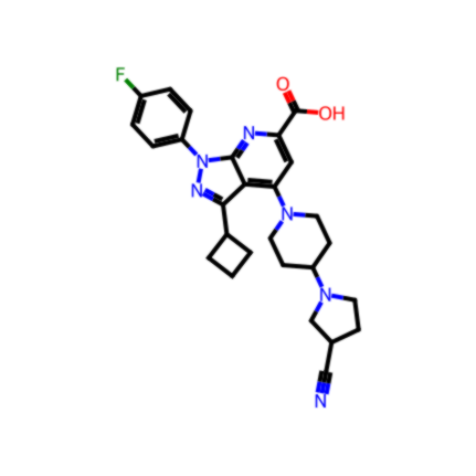 N#CC1CCN(C2CCN(c3cc(C(=O)O)nc4c3c(C3CCC3)nn4-c3ccc(F)cc3)CC2)C1